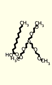 CCCCCCCCCCCC(=O)O.COCCOCCN(CCOCCOC)CCOCCOC